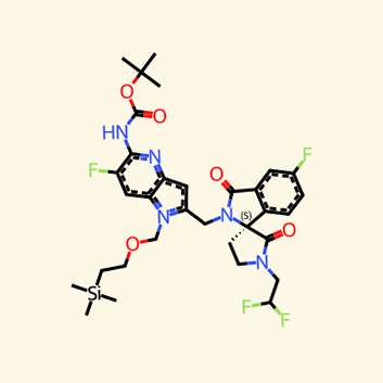 CC(C)(C)OC(=O)Nc1nc2cc(CN3C(=O)c4cc(F)ccc4[C@]34CCN(CC(F)F)C4=O)n(COCC[Si](C)(C)C)c2cc1F